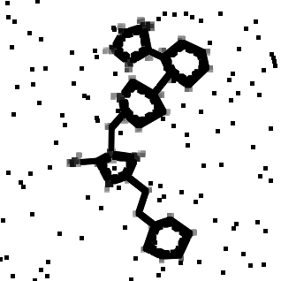 CCCc1nc(CCc2ccccc2)nn1Cc1ccc(-c2ccccc2-c2nnn[nH]2)cn1